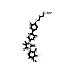 CC(=O)NCCCOc1ccc(-c2ncc(N3C(=S)N(c4ccc(C#N)c(C(F)(F)F)c4F)C(=O)C3(C)C)cc2F)cc1F